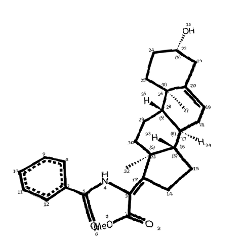 COC(=O)C(NC(=O)c1ccccc1)=C1CC[C@H]2[C@@H]3CC=C4C[C@@H](O)CC[C@]4(C)[C@H]3CC[C@]12C